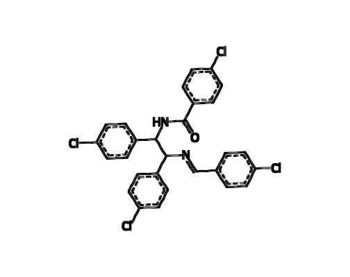 O=C(NC(c1ccc(Cl)cc1)C(N=Cc1ccc(Cl)cc1)c1ccc(Cl)cc1)c1ccc(Cl)cc1